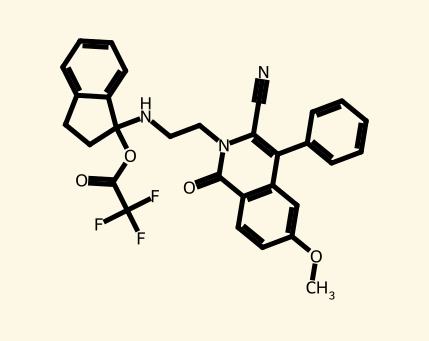 COc1ccc2c(=O)n(CCNC3(OC(=O)C(F)(F)F)CCc4ccccc43)c(C#N)c(-c3ccccc3)c2c1